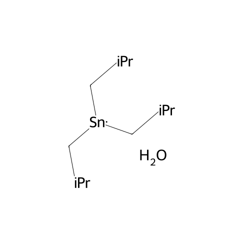 CC(C)[CH2][Sn]([CH2]C(C)C)[CH2]C(C)C.O